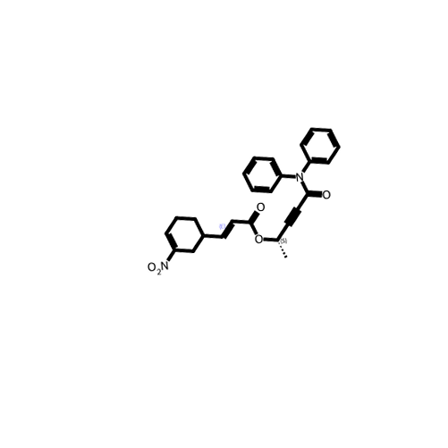 C[C@@H](C#CC(=O)N(c1ccccc1)c1ccccc1)OC(=O)/C=C/C1CCC=C([N+](=O)[O-])C1